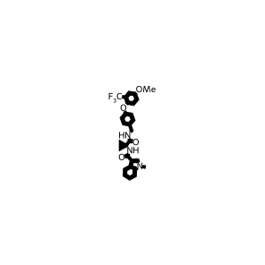 COc1ccc(Oc2ccc(CNC(=O)C3(NC(=O)c4cn(C)c5ccccc45)CC3)cc2)c(C(F)(F)F)c1